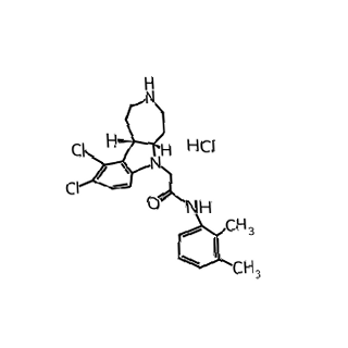 Cc1cccc(NC(=O)CN2c3ccc(Cl)c(Cl)c3[C@@H]3CCNCC[C@@H]32)c1C.Cl